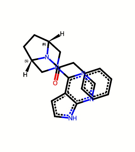 O=C(Cc1ccccc1)N1[C@@H]2CC[C@H]1CN(c1ncnc3[nH]ccc13)C2